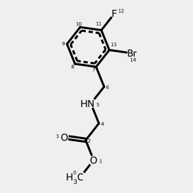 COC(=O)CNCc1cccc(F)c1Br